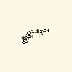 O=C(CCCOc1ccc(C[C@H](Nc2nc3cccc(F)c3o2)C(=O)O)cc1)NC1=NCC(O)CN1